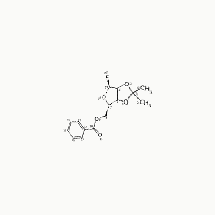 CC1(C)OC2C(O1)[C@@H](COC(=O)c1ccccc1)O[C@H]2F